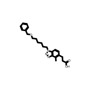 Cc1c(CCC(=O)O)ccc2c1nnn2CCCCCCOCc1ccccc1